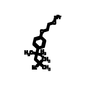 CCCOCCOc1ccc(C(C)(C)CC(C)(C)CC)cc1